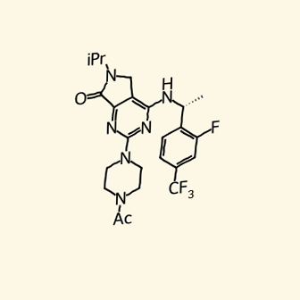 CC(=O)N1CCN(c2nc(N[C@H](C)c3ccc(C(F)(F)F)cc3F)c3c(n2)C(=O)N(C(C)C)C3)CC1